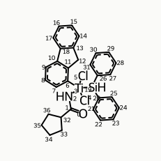 O=C([NH][Ti]([Cl])([Cl])([c]1cccc2c1Cc1ccccc1-2)[SiH](c1ccccc1)c1ccccc1)C1CCCC1